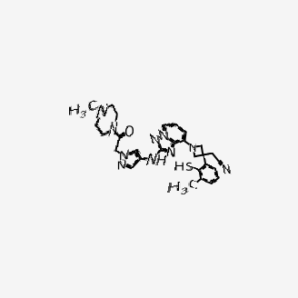 Cc1cccc(C2(CC#N)CN(c3cccn4nc(Nc5cnn(CC(=O)N6CCN(C)CC6)c5)nc34)C2)c1S